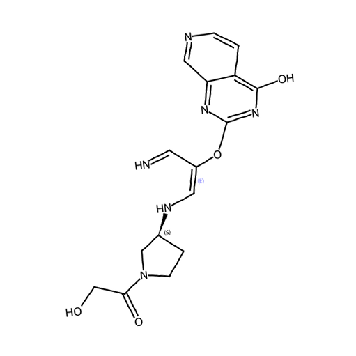 N=C/C(=C\N[C@H]1CCN(C(=O)CO)C1)Oc1nc(O)c2ccncc2n1